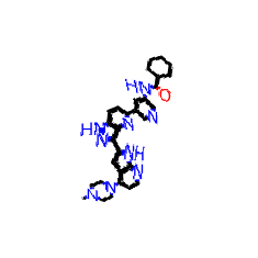 CN1CCN(c2ccnc3[nH]c(-c4n[nH]c5ccc(-c6cncc(NC(=O)C7CCCCC7)c6)nc45)cc23)CC1